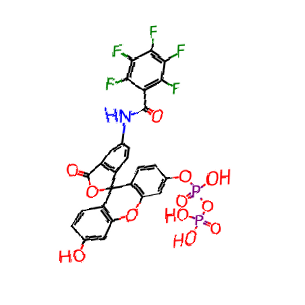 O=C1OC2(c3ccc(O)cc3Oc3cc(OP(=O)(O)OP(=O)(O)O)ccc32)c2ccc(NC(=O)c3c(F)c(F)c(F)c(F)c3F)cc21